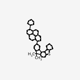 CC1(C)c2ccc(-c3ccc4ccc5c(-c6ccccc6)ccc6ccc3c4c65)cc2-c2c1ccc1sc3ccccc3c21